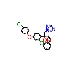 OC(/C=C\c1ccccc1)(Cn1cncn1)c1ccc(Oc2ccc(Cl)cc2)cc1Cl